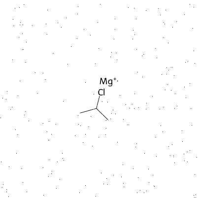 CC(C)Cl.[Mg+]